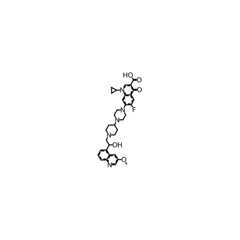 COc1cnc2cccc(C(O)CN3CCC(N4CCN(c5cc6c(cc5F)c(=O)c(C(=O)O)cn6C5CC5)CC4)CC3)c2c1